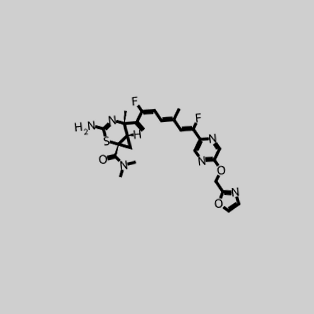 C=C(\C(F)=C/C=C(C)/C=C(\F)c1cnc(OCc2ncco2)cn1)[C@@]1(C)N=C(N)S[C@@]2(C(=O)N(C)C)C[C@@H]12